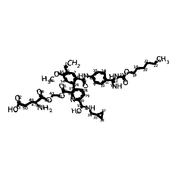 C=Cc1cc(C(=O)Nc2ccc(C(=N)NC(=O)OCCCCCC)cc2)c(-c2ccc(C(O)NCC3CC3)nc2C(=O)OCOC(=O)[C@@H](N)CCC(=O)O)cc1OC